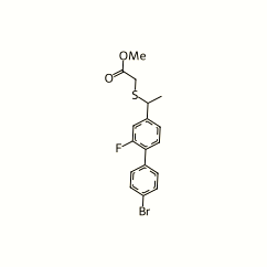 COC(=O)CSC(C)c1ccc(-c2ccc(Br)cc2)c(F)c1